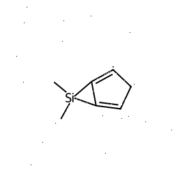 C[Si]1(C)C2=[C]CC=C21